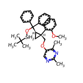 COc1ccccc1[C@]1(COc2cnc(C)nc2C)C[C@H]1C(O[SiH2]C(C)(C)C)(c1ccccc1)c1ccccc1